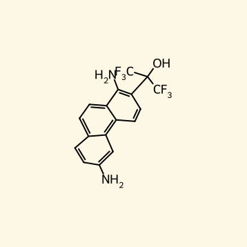 Nc1ccc2ccc3c(N)c(C(O)(C(F)(F)F)C(F)(F)F)ccc3c2c1